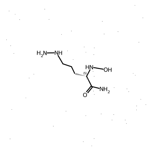 NNCCC[C@H](NO)C(N)=O